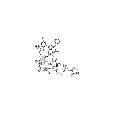 CC(=O)N[C@@H](CCCCN)C(=O)N[C@@H](C)C(=O)N[C@@H](C)C(=O)N[C@@H](CC(N)=O)C(=O)N[C@@H](CCN(C(=O)CO)[C@@H](c1cc(-c2cc(F)ccc2F)cn1Cc1ccccc1)C(C)(C)C)C(=O)NCCNC(=O)CC[C@H](N)C(=O)O